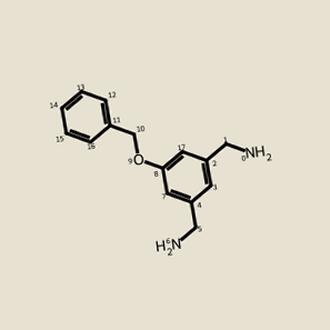 NCc1cc(CN)cc(OCc2ccccc2)c1